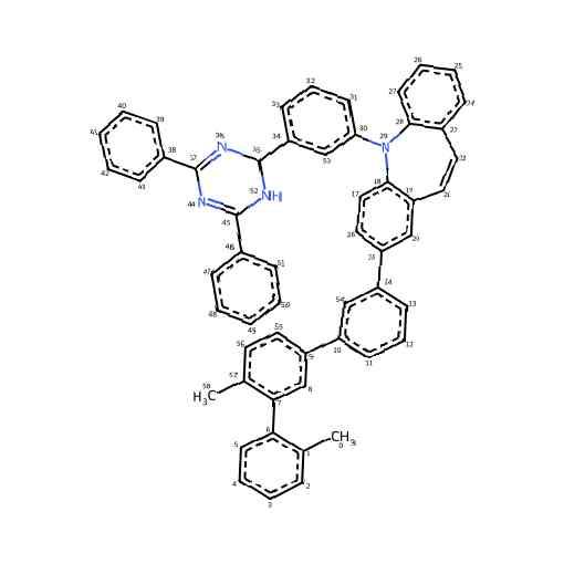 Cc1ccccc1-c1cc(-c2cccc(-c3ccc4c(c3)C=Cc3ccccc3N4c3cccc(C4N=C(c5ccccc5)N=C(c5ccccc5)N4)c3)c2)ccc1C